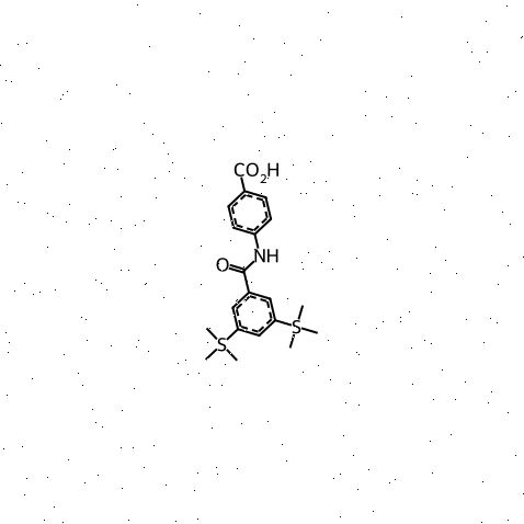 CS(C)(C)c1cc(C(=O)Nc2ccc(C(=O)O)cc2)cc(S(C)(C)C)c1